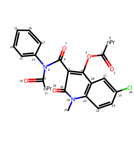 CCCC(=O)Oc1c(C(=O)N(C(=O)CCC)c2ccccc2)c(=O)n(C)c2ccc(Cl)cc12